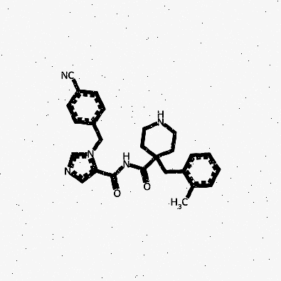 Cc1ccccc1CC1(C(=O)NC(=O)c2cncn2Cc2ccc(C#N)cc2)CCNCC1